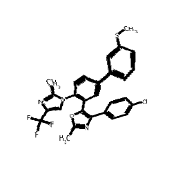 CSc1cccc(-c2ccc(-n3cc(C(F)(F)F)nc3C)c(-c3oc(C)nc3-c3ccc(Cl)cc3)c2)c1